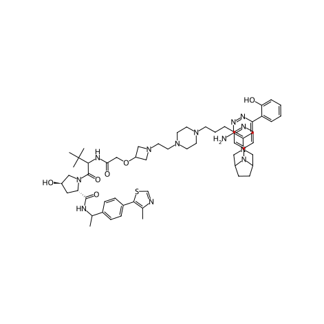 Cc1ncsc1-c1ccc(C(C)NC(=O)[C@@H]2C[C@@H](O)CN2C(=O)C(NC(=O)COC2CN(CCN3CCN(CCCc4cc(N5C6CCC5CN(c5cc(-c7ccccc7O)nnc5N)C6)ccn4)CC3)C2)C(C)(C)C)cc1